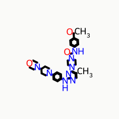 CC(=O)c1ccc(NC(=O)N2CCN(c3nc(Nc4ccc(N5CCC(N6CCOCC6)CC5)cc4)ncc3C)CC2)cc1